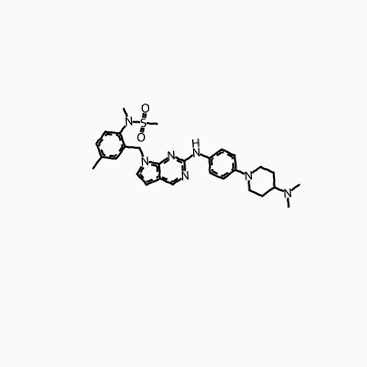 Cc1ccc(N(C)S(C)(=O)=O)c(Cn2ccc3cnc(Nc4ccc(N5CCC(N(C)C)CC5)cc4)nc32)c1